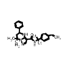 C=Cc1ccc(C(CC)(CC)NC(=O)c2cnn3c2NC(c2ccccc2)CC3(C)C)cc1